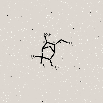 CC1C2CC([C@@H](S(=O)(=O)O)[C@H]2CN)C1(C)C